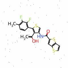 C=C(O)c1c(NC(=O)c2cc3sccc3s2)csc1-c1ccc(C)c(F)c1F